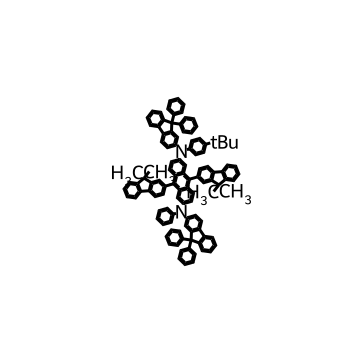 CC(C)(C)c1ccc(N(c2ccc3c(c2)C(c2ccccc2)(c2ccccc2)c2ccccc2-3)c2ccc3c(-c4ccc5c(c4)C(C)(C)c4ccccc4-5)c4cc(N(c5ccccc5)c5ccc6c(c5)C(c5ccccc5)(c5ccccc5)c5ccccc5-6)ccc4c(-c4ccc5c(c4)C(C)(C)c4ccccc4-5)c3c2)cc1